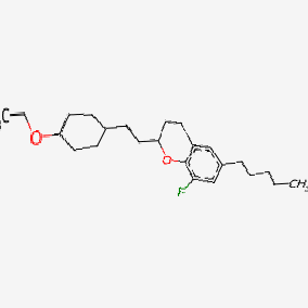 CCCCCc1cc(F)c2c(c1)CCC(CCC1CCC(OCC)CC1)O2